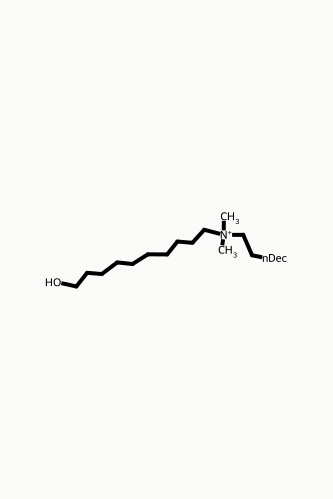 CCCCCCCCCCCC[N+](C)(C)CCCCCCCCCCO